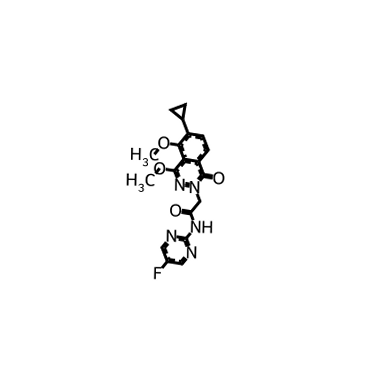 COc1nn(CC(=O)Nc2ncc(F)cn2)c(=O)c2ccc(C3CC3)c(OC)c12